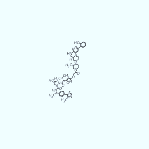 Cc1ncsc1-c1ccc([C@H](C)NC(=O)[C@@H]2C[C@@H](O)CN2C(=O)[C@@H](c2cc(OCC(=O)N3CC[C@H](N4CCN5c6cc(-c7ccccc7O)nnc6NC[C@@H]5C4)[C@@H](C)C3)no2)C(C)C)cc1